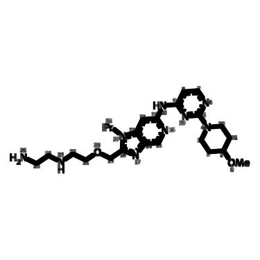 COC1CCN(c2nccc(Nc3cc4c(cn3)nc(COCCNCCN)n4C(C)C)n2)CC1